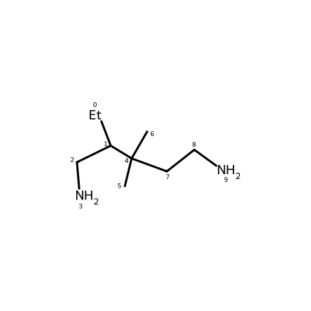 CCC(CN)C(C)(C)CCN